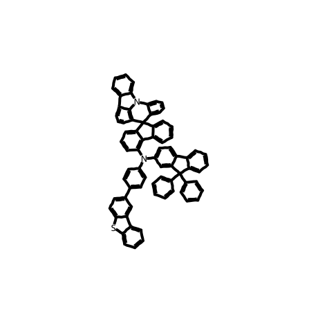 c1ccc(C2(c3ccccc3)c3ccccc3-c3ccc(N(c4ccc(-c5ccc6sc7ccccc7c6c5)cc4)c4cccc5c4-c4ccccc4C54c5ccccc5-n5c6ccccc6c6cccc4c65)cc32)cc1